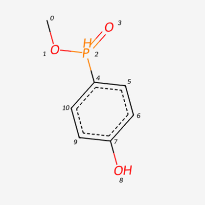 CO[PH](=O)c1ccc(O)cc1